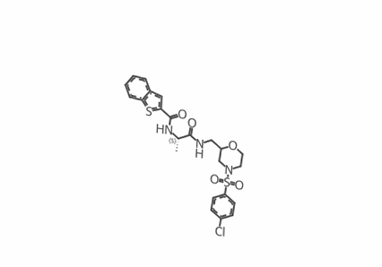 C[C@H](NC(=O)c1cc2ccccc2s1)C(=O)NCC1CN(S(=O)(=O)c2ccc(Cl)cc2)CCO1